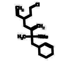 C=CC(CCCl)CC(=C)C(C)(CC1C=CCCC1)NC